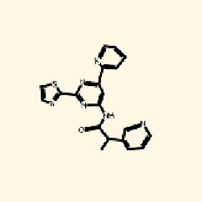 CC(C(=O)Nc1cc(-c2ccccn2)nc(-c2nccs2)n1)c1cccnc1